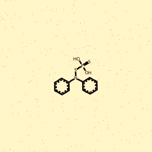 OP(O)(=S)SN(c1ccccc1)c1ccccc1